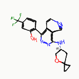 Oc1cc(C(F)(F)F)ccc1-c1nnc(N[C@H]2COC3(CC3)C2)c2cnccc12